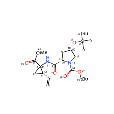 C=C[C@@H]1C[C@]1(NC(=O)[C@@H]1C[C@H](O[Si](C)(C)C(C)(C)C)CN1C(=O)OC(C)(C)C)C(=O)OC